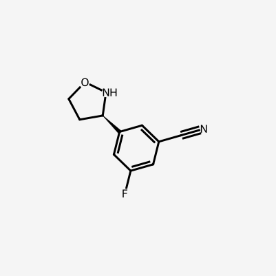 N#Cc1cc(F)cc([C@H]2CCON2)c1